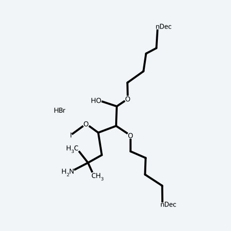 Br.CCCCCCCCCCCCCCOC(O)C(OCCCCCCCCCCCCCC)C(CC(C)(C)N)OI